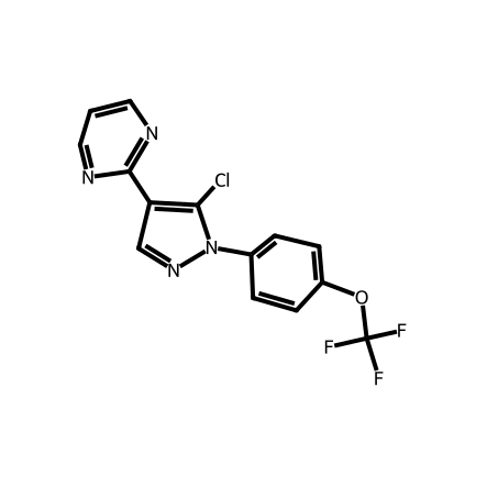 FC(F)(F)Oc1ccc(-n2ncc(-c3ncccn3)c2Cl)cc1